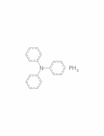 P.c1ccc(N(c2ccccc2)c2ccccc2)cc1